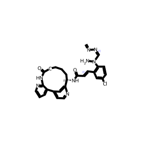 C=N/N=C\N(N)c1ccc(Cl)cc1/C=C/C(=O)N[C@H]1CCCCC(=O)Nc2ncccc2-c2ccnc1c2